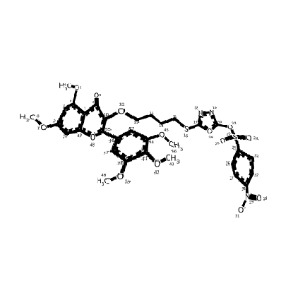 COc1cc(OC)c2c(=O)c(OCCCCSc3nnc(OS(=O)(=O)c4ccc([N+](=O)[O-])cc4)o3)c(-c3cc(OC)c(OC)c(OC)c3)oc2c1